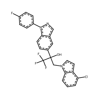 OC(Cn1ccc2c(Cl)cccc21)(c1ccc2c(cnn2-c2ccc(F)cc2)c1)C(F)(F)F